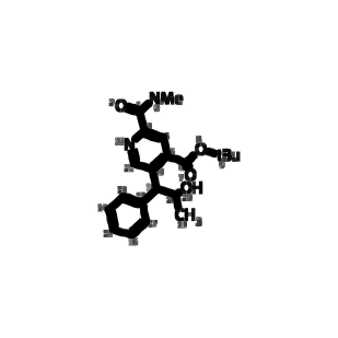 CNC(=O)c1cc(C(=O)OC(C)(C)C)c(C(c2ccccc2)C(C)O)cn1